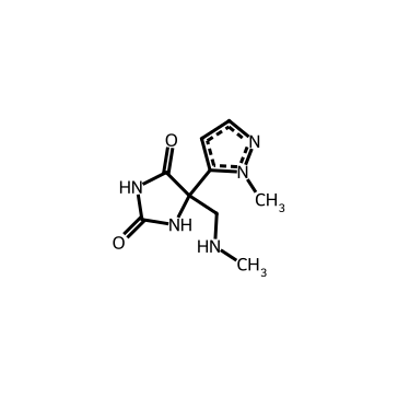 CNCC1(c2ccnn2C)NC(=O)NC1=O